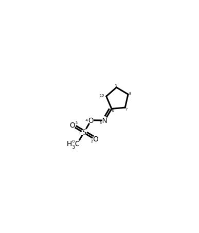 CS(=O)(=O)ON=C1CCCC1